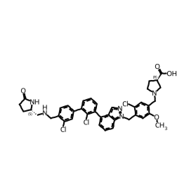 COc1cc(Cn2ncc3c(-c4cccc(-c5ccc(CNC[C@@H]6CCC(=O)N6)c(Cl)c5)c4Cl)cccc32)c(Cl)cc1CN1CC[C@@H](C(=O)O)C1